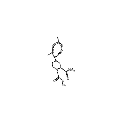 Cc1cnc(N2CCN(C(=O)OC(C)(C)C)C(C(N)=O)C2)c(C)c1